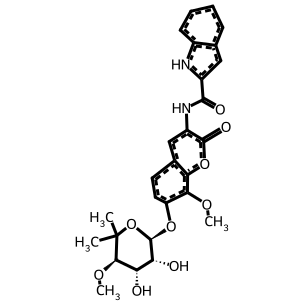 COc1c(O[C@@H]2OC(C)(C)[C@H](OC)[C@@H](O)[C@H]2O)ccc2cc(NC(=O)c3cc4ccccc4[nH]3)c(=O)oc12